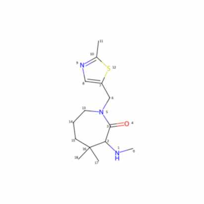 CNC1C(=O)N(Cc2cnc(C)s2)CCCC1(C)C